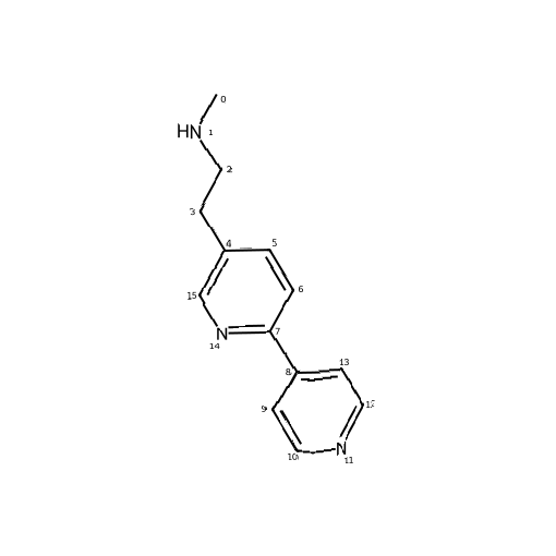 CNCCc1ccc(-c2ccncc2)nc1